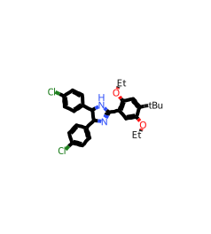 CCOc1cc(C(C)(C)C)c(OCC)cc1C1=NC(c2ccc(Cl)cc2)C(c2ccc(Cl)cc2)N1